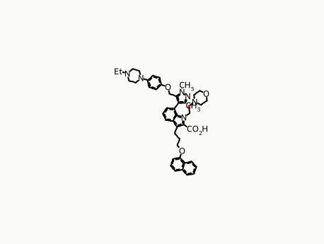 CCN1CCN(c2ccc(OCc3c(-c4cccc5c(CCCOc6cccc7ccccc67)c(C(=O)O)n(CCN6CCOCC6)c45)c(C)nn3C)cc2)CC1